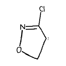 ClC1=NOC[C]1